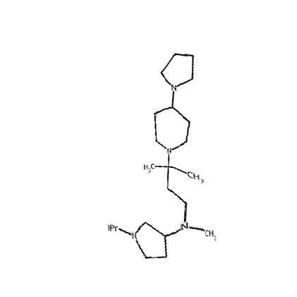 CC(C)N1CCC(N(C)CCC(C)(C)N2CCC(N3CCCC3)CC2)C1